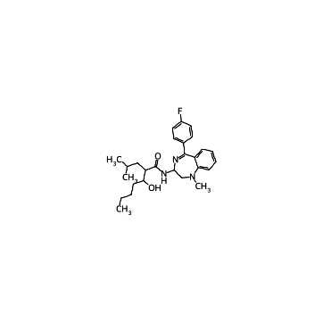 CCCCC(O)C(CC(C)C)C(=O)NC1CN(C)c2ccccc2C(c2ccc(F)cc2)=N1